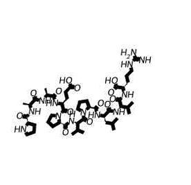 CC(C)C[C@H](NC(=O)[C@@H]1CCCN1C(=O)[C@@H](NC(=O)[C@@H]1CCCN1C(=O)[C@H](CCC(=O)O)NC(=O)[C@H](C)NC(=O)[C@H](C)NC(=O)[C@@H]1CCCN1)C(C)C)C(=O)N[C@H](C(=O)N[C@@H](CCCNC(=N)N)C(=O)O)C(C)C